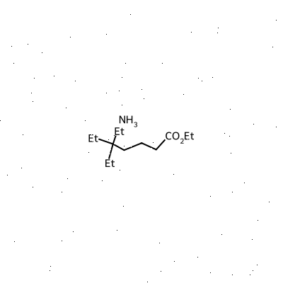 CCOC(=O)CCCC(CC)(CC)CC.N